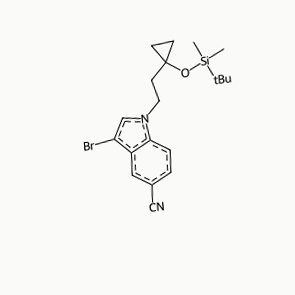 CC(C)(C)[Si](C)(C)OC1(CCn2cc(Br)c3cc(C#N)ccc32)CC1